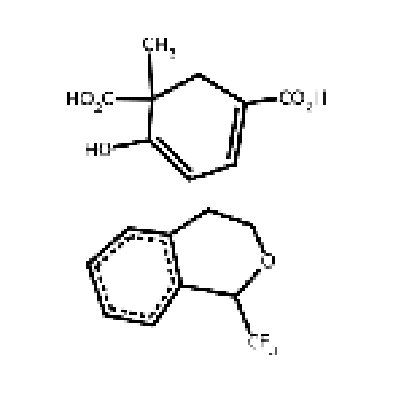 CC1(C(=O)O)CC(C(=O)O)=CC=C1O.FC(F)(F)C1OCCc2ccccc21